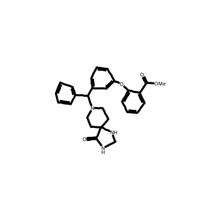 COC(=O)c1ccccc1Oc1cccc(C(c2ccccc2)N2CCC3(CC2)NCNC3=O)c1